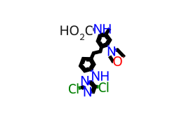 Cc1cc(N2CCOCC2)c(CCc2cccc(Nc3nc(Cl)ncc3Cl)c2)cc1NC(=O)O